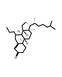 CCCC1CC2=CC(=O)CC[C@]2(C)[C@H]2CC[C@]3(C)[C@@H]([C@H](C)CCCC(C)C)CC[C@H]3[C@H]12